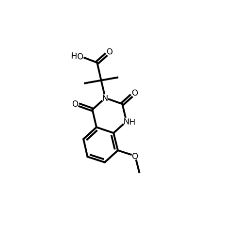 COc1cccc2c(=O)n(C(C)(C)C(=O)O)c(=O)[nH]c12